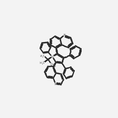 CC(C)(C)[Si]1(c2ccccc2)C(c2cccc3ncccc23)=C(c2ccccc2)C(c2ccccc2)=C1c1cccc2ncccc12